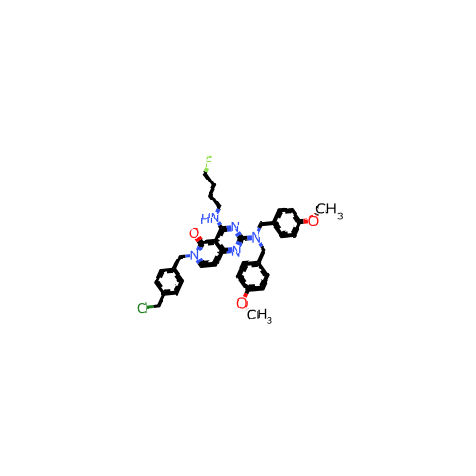 COc1ccc(CN(Cc2ccc(OC)cc2)c2nc(NCCCCF)c3c(=O)n(Cc4ccc(CCl)cc4)ccc3n2)cc1